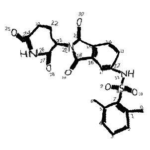 Cc1cccc(C)c1S(=O)(=O)Nc1ccc2c(c1)C(=O)N(C1CCC(=O)NC1=O)C2=O